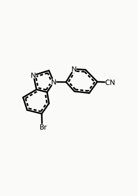 N#Cc1ccc(-n2cnc3ccc(Br)cc32)nc1